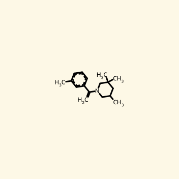 C=C(c1cccc(C)c1)N1CC(C)CC(C)(C)C1